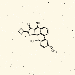 COc1ccc(OC)c(-c2cccc3c(N)c4c(nc23)CN(C2CCC2)C4=O)c1